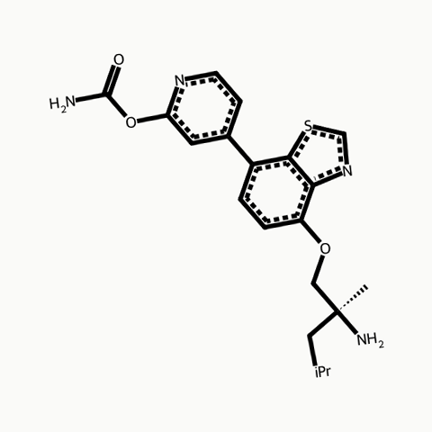 CC(C)C[C@](C)(N)COc1ccc(-c2ccnc(OC(N)=O)c2)c2scnc12